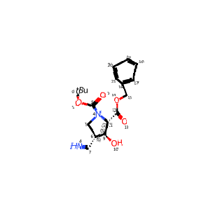 CC(C)(C)OC(=O)N1C[C@@H](C=N)[C@H](O)[C@H]1C(=O)OCc1ccccc1